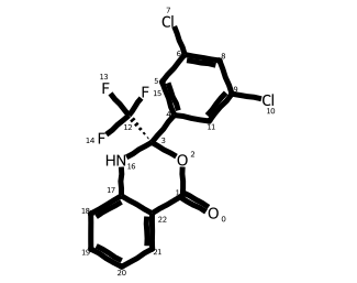 O=C1O[C@@](c2cc(Cl)cc(Cl)c2)(C(F)(F)F)Nc2ccccc21